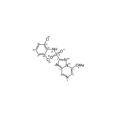 COc1cncc2nc(S(=O)(=O)Nc3c(Cl)cccc3Cl)nn12